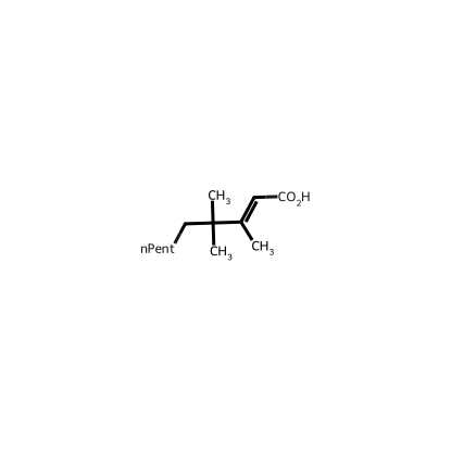 CCCCCCC(C)(C)C(C)=CC(=O)O